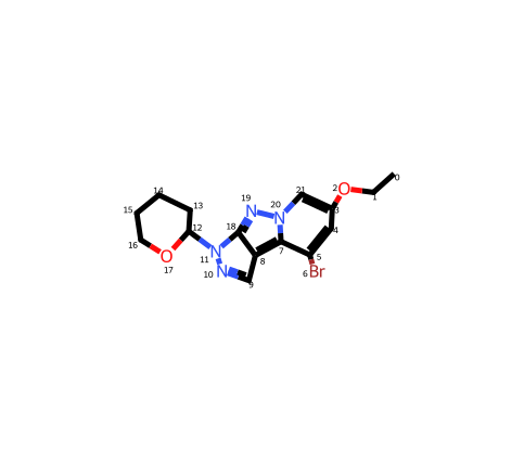 CCOc1cc(Br)c2c3cnn(C4CCCCO4)c3nn2c1